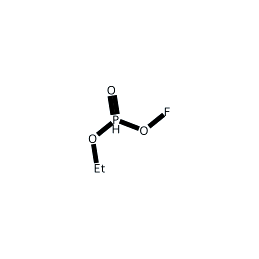 CCO[PH](=O)OF